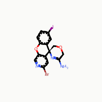 NC1=N[C@@]2(COC1)c1cc(I)ccc1Oc1cnc(Br)cc12